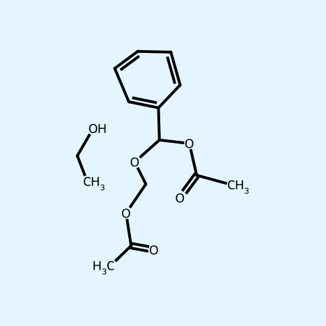 CC(=O)OCOC(OC(C)=O)c1ccccc1.CCO